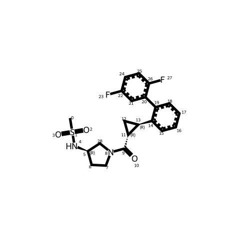 CS(=O)(=O)N[C@@H]1CCN(C(=O)[C@@H]2C[C@H]2c2ccccc2-c2cc(F)ccc2F)C1